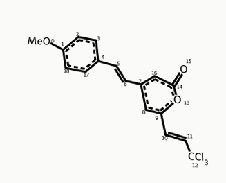 COc1ccc(/C=C/c2cc(/C=C/C(Cl)(Cl)Cl)oc(=O)c2)cc1